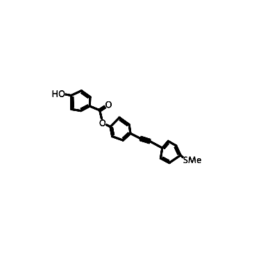 CSc1ccc(C#Cc2ccc(OC(=O)c3ccc(O)cc3)cc2)cc1